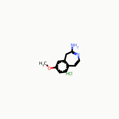 COc1ccc2c(c1)CC(N)=NC=C2.Cl